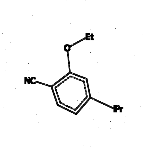 CCOc1cc(C(C)C)ccc1C#N